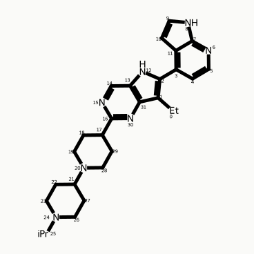 CCc1c(-c2ccnc3[nH]ccc23)[nH]c2cnc(C3CCN(C4CCN(C(C)C)CC4)CC3)nc12